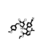 CCOC(=O)c1ccn(C(C)C)c1C(NC1C=C(Cl)C(=O)N(Cc2ccc(OC)cc2)C1)c1ccc(C#N)cc1